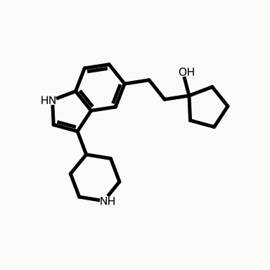 OC1(CCc2ccc3[nH]cc(C4CCNCC4)c3c2)CCCC1